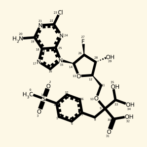 CS(=O)(=O)c1ccc(CC(OC[C@H]2O[C@@H](n3cnc4c(N)nc(Cl)nc43)[C@@H](F)[C@@H]2O)(C(=O)O)C(O)O)cc1